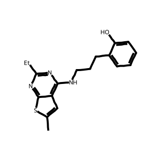 CCc1nc(NCCCc2ccccc2O)c2cc(C)sc2n1